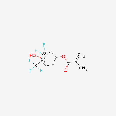 C=C(C)C(=O)OC1CC2CCC1C(F)(F)C2(O)C(F)(F)F